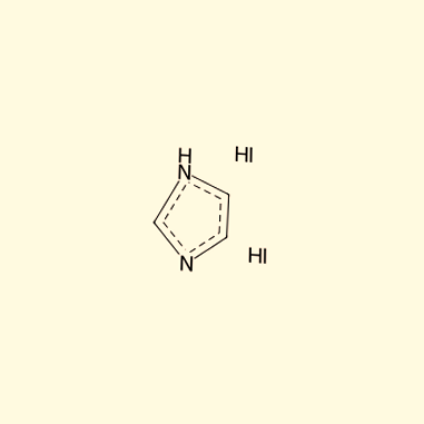 I.I.c1c[nH]cn1